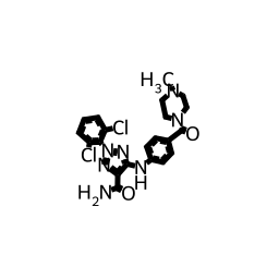 CN1CCN(C(=O)c2ccc(Nc3nn(-c4c(Cl)cccc4Cl)nc3C(N)=O)cc2)CC1